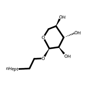 CCCCCCCCCO[C@H]1OC[C@@H](O)[C@H](O)[C@H]1O